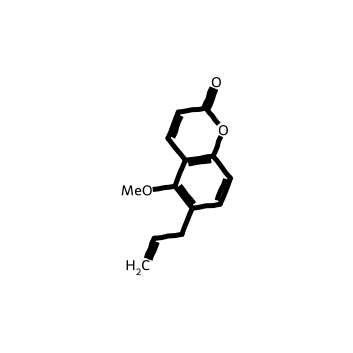 C=CCc1ccc2oc(=O)ccc2c1OC